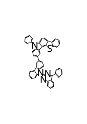 c1ccc(-c2nc(-n3c4ccccc4c4cc(-c5ccc6c(c5)c5c7sc8ccccc8c7ccc5n6-c5ccccc5)ccc43)nc3ccccc23)cc1